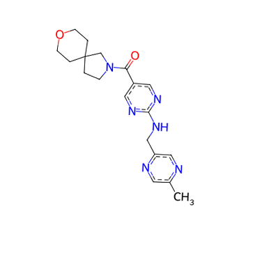 Cc1cnc(CNc2ncc(C(=O)N3CCC4(CCOCC4)C3)cn2)cn1